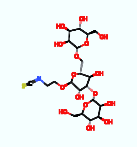 OC[C@H]1O[C@H](OC[C@H]2O[C@H](OCCN=C=S)[C@@H](O)[C@@H](O[C@H]3O[C@H](CO)[C@@H](O)[C@H](O)[C@@H]3O)[C@@H]2O)[C@@H](O)[C@@H](O)[C@@H]1O